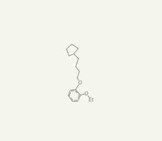 CCOc1ccccc1OCCCCC1CCCC1